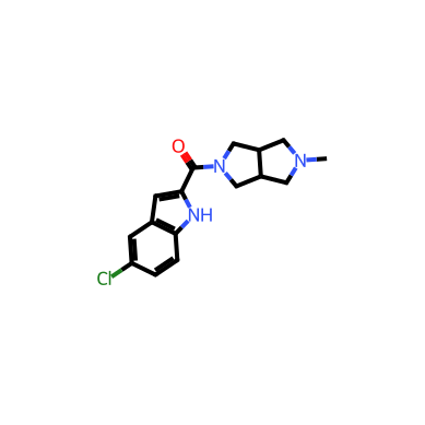 CN1CC2CN(C(=O)c3cc4cc(Cl)ccc4[nH]3)CC2C1